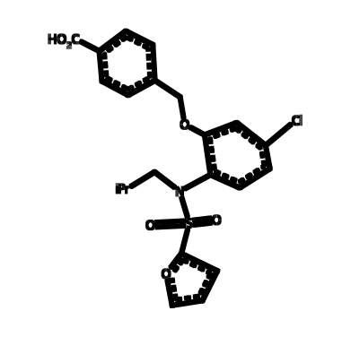 CC(C)CN(c1ccc(Cl)cc1OCc1ccc(C(=O)O)cc1)S(=O)(=O)c1ccco1